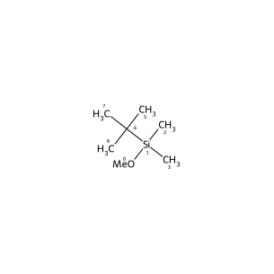 [CH]O[Si](C)(C)C(C)(C)C